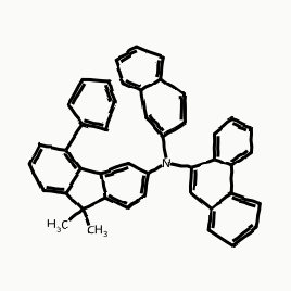 CC1(C)c2ccc(N(c3ccc4ccccc4c3)c3cc4ccccc4c4ccccc34)cc2-c2c(-c3ccccc3)cccc21